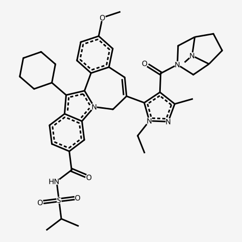 CCn1nc(C)c(C(=O)N2CC3CCC(C2)N3C)c1C1=Cc2cc(OC)ccc2-c2c(C3CCCCC3)c3ccc(C(=O)NS(=O)(=O)C(C)C)cc3n2C1